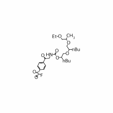 CCCCC(COC(C)COCC)OCC(CCCC)OC(=O)NCC(=O)c1ccc(S(=O)(=O)F)cc1